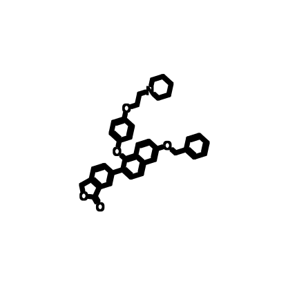 O=C1OCc2ccc(-c3ccc4cc(OCc5ccccc5)ccc4c3Oc3ccc(OCCN4CCCCC4)cc3)cc21